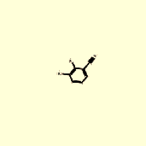 N#Cc1cccc(O)c1Br